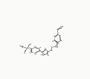 O=Cc1ccc(OCCc2coc(-c3ccc(C(F)(F)F)cc3)n2)cc1